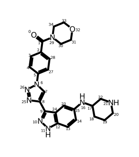 O=C(c1ccc(-n2cc(-c3n[nH]c4ccc(NC5CCCNC5)cc34)nn2)cc1)N1CCOCC1